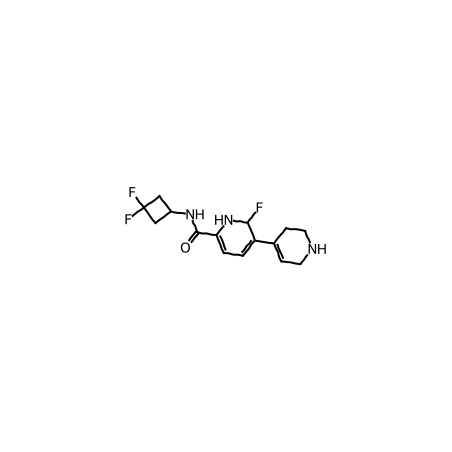 O=C(NC1CC(F)(F)C1)C1=CC=C(C2=CCNCC2)C(F)N1